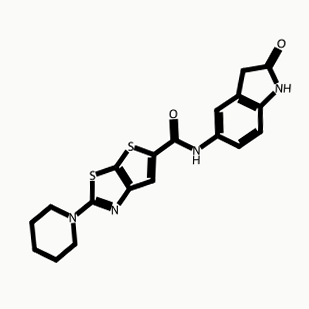 O=C1Cc2cc(NC(=O)c3cc4nc(N5CCCCC5)sc4s3)ccc2N1